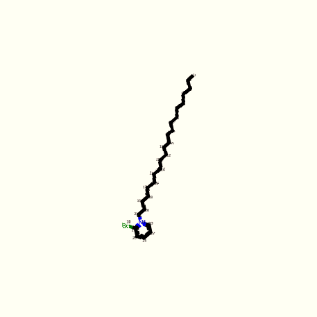 CCCCCCCCCCCCCCCCCCCCCC[n+]1ccccc1Br